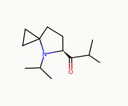 CC(C)C(=O)[C@@H]1CCC2(CC2)N1C(C)C